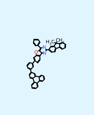 CC1(C)c2ccccc2-c2ccc(-c3nc(-c4ccccc4)c4oc5cc(-c6cccc(-c7ccc8c9ccccc9c9ccccc9c8c7)c6)ccc5c4n3)cc21